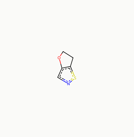 c1nsc2c1OCC2